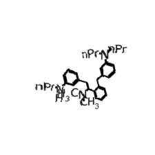 CCCNc1cccc(C[C](c2ccccc2Cc2cccc(N(CCC)CCC)c2)N(C)C)c1